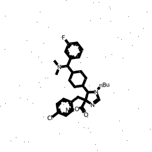 CCCCN1C=NC(Cc2ccc(Cl)cc2)(C(=O)OC)C1C1CCC(C(c2cccc(F)c2)N(C)C)CC1